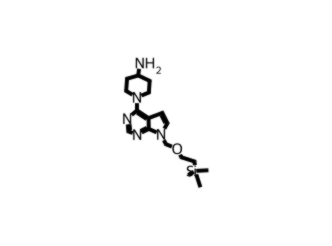 C[Si](C)(C)CCOCn1ccc2c(N3CCC(N)CC3)ncnc21